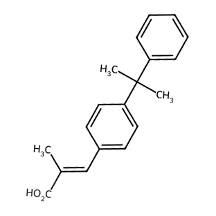 C/C(=C\c1ccc(C(C)(C)c2ccccc2)cc1)C(=O)O